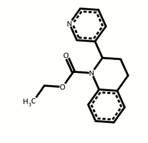 CCOC(=O)N1c2ccccc2CCC1c1cccnc1